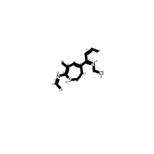 C/C=C\C(=N\CCl)C1=CC(C)=C(/N=C\C)SCC1